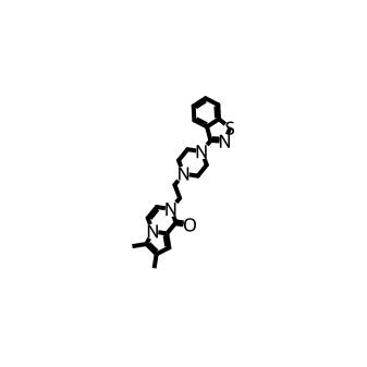 Cc1cc2c(=O)n(CCN3CCN(c4nsc5ccccc45)CC3)ccn2c1C